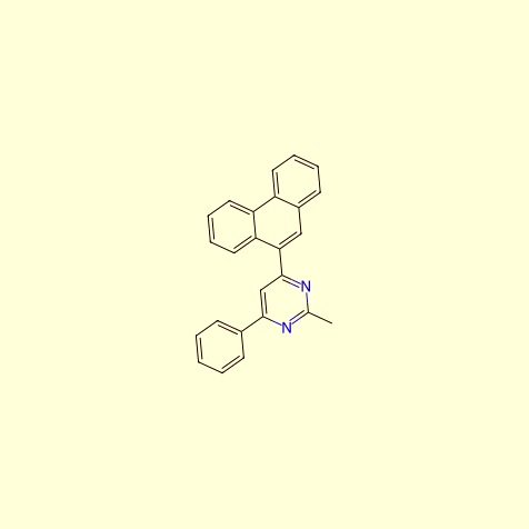 Cc1nc(-c2ccccc2)cc(-c2cc3ccccc3c3ccccc23)n1